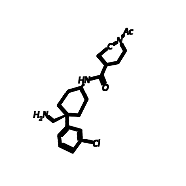 CC(=O)N1CCC(C(=O)N[C@H]2CC[C@@](CN)(c3cccc(Cl)c3)CC2)CC1